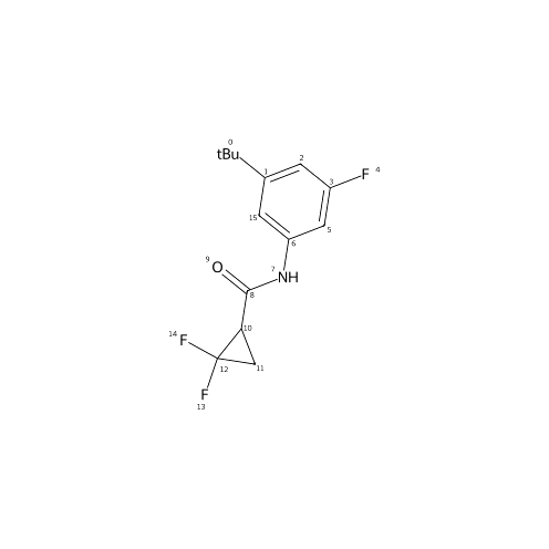 CC(C)(C)c1cc(F)cc(NC(=O)C2CC2(F)F)c1